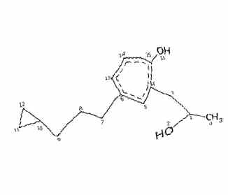 CC(O)Cc1cc(CCCC2CC2)ccc1O